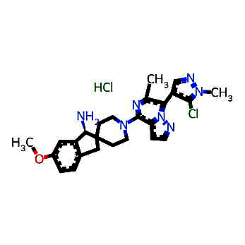 COc1ccc2c(c1)[C@@H](N)C1(CCN(c3nc(C)c(-c4cnn(C)c4Cl)n4nccc34)CC1)C2.Cl